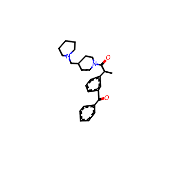 CC(C(=O)N1CCC(CN2CCCCC2)CC1)c1cccc(C(=O)c2ccccc2)c1